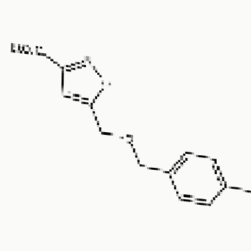 CCOC(=O)c1cc(COCc2ccc(Cl)cc2)on1